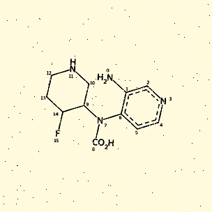 Nc1cnccc1N(C(=O)O)C1CNCCC1F